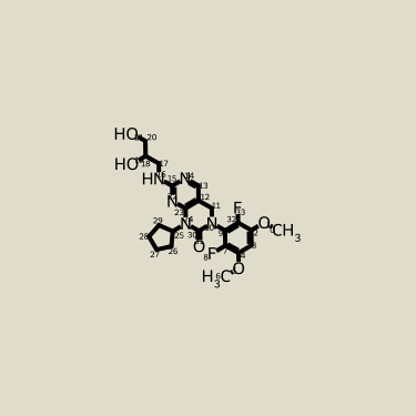 COc1cc(OC)c(F)c(N2Cc3cnc(NCC(O)CO)nc3N(C3CCCC3)C2=O)c1F